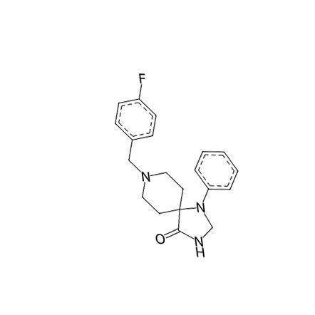 O=C1NCN(c2ccccc2)C12CCN(Cc1ccc(F)cc1)CC2